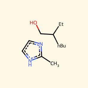 CCCCC(CC)CO.Cc1ncc[nH]1